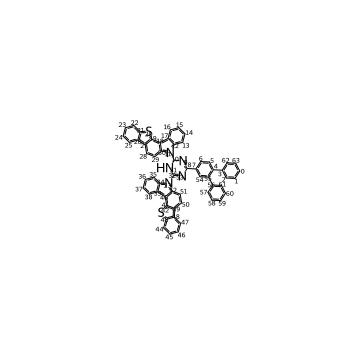 c1ccc(-c2ccc(C3=NC(n4c5ccccc5c5c6sc7ccccc7c6ccc54)NC(n4c5ccccc5c5c6sc7ccccc7c6ccc54)=N3)cc2-c2ccccc2)cc1